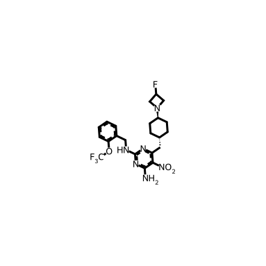 Nc1nc(NCc2ccccc2OC(F)(F)F)nc(C[C@H]2CC[C@H](N3CC(F)C3)CC2)c1[N+](=O)[O-]